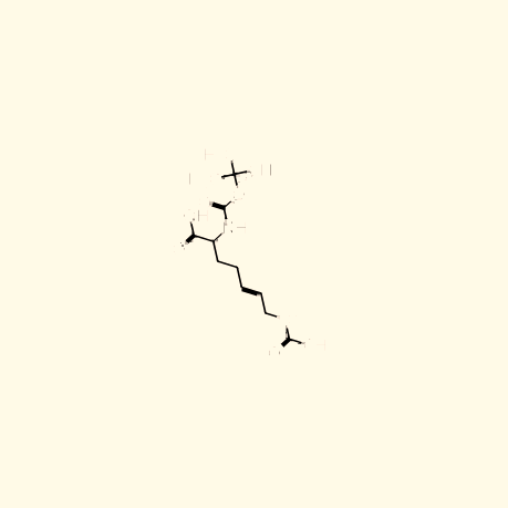 CC(=O)OCC=CCCC(NC(=O)OC(C)(C)C)C(=O)O